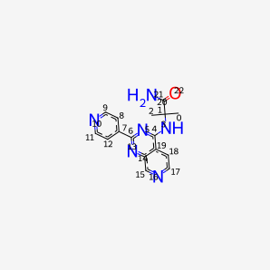 CC(C)(Nc1nc(-c2ccncc2)nc2cnccc12)C(N)=O